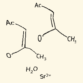 CC(=O)/C=C(/C)[O-].CC(=O)/C=C(/C)[O-].O.[Sr+2]